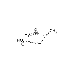 CCCCCCCC/C=C\CCCCCCCC(=O)O.CCO[Si](N)=O